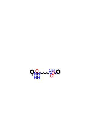 Cc1ccccc1NC(=O)NCCCCCCN(N)C(=O)OCc1ccccc1